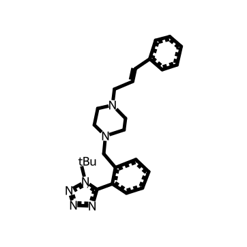 CC(C)(C)n1nnnc1-c1ccccc1CN1CCN(CC=Cc2ccccc2)CC1